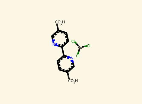 O=C(O)c1ccc(-c2ccc(C(=O)O)cn2)nc1.[Cl][Ru]([Cl])[Cl]